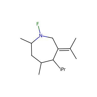 CC(C)=C1CN(F)C(C)CC(C)C1C(C)C